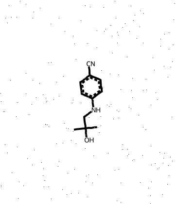 CC(C)(O)CNc1ccc(C#N)cc1